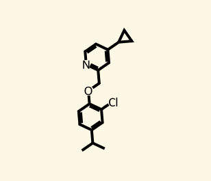 CC(C)c1ccc(OCc2cc(C3CC3)ccn2)c(Cl)c1